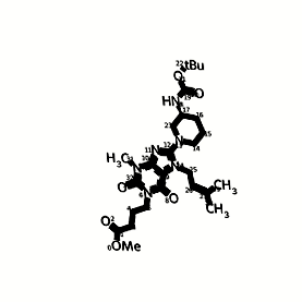 COC(=O)CCCn1c(=O)c2c(nc(N3CCC[C@H](NC(=O)OC(C)(C)C)C3)n2CC=C(C)C)n(C)c1=O